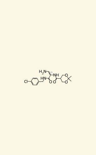 CC1(C)OCC(C(=O)N/C(=C/N)C(=O)NCc2ccc(Cl)cc2)CO1